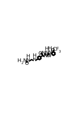 NC(=O)NCCCNCc1ccc(-c2c[nH]c(NC(=O)Nc3ccccc3OC(F)(F)F)nc2=O)cc1